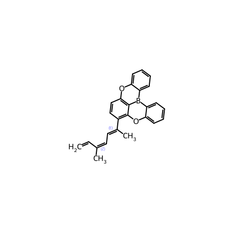 C=C/C(C)=C\C=C(/C)c1ccc2c3c1Oc1ccccc1B3c1ccccc1O2